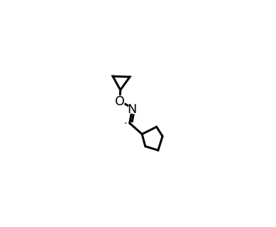 [C](=N\OC1CC1)/C1CCCC1